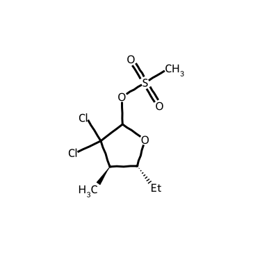 CC[C@H]1OC(OS(C)(=O)=O)C(Cl)(Cl)[C@@H]1C